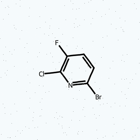 Fc1ccc(Br)nc1Cl